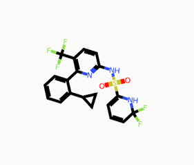 O=S(=O)(Nc1ccc(C(F)(F)F)c(-c2ccccc2C2CC2)n1)C1=CC=CC(F)(F)N1